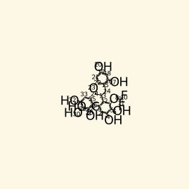 O=C(O)c1cc(O)c(O)c(OC(F)F)c1C1Cc2c(O)cc(O)cc2O[C@H]1c1cc(O)c(O)c(O)c1